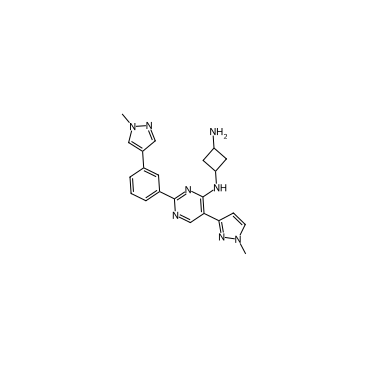 Cn1cc(-c2cccc(-c3ncc(-c4ccn(C)n4)c(NC4CC(N)C4)n3)c2)cn1